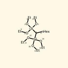 CCCCCCC([Si](OCC)(OCC)OCC)[Si](OCC)(OCC)OCC